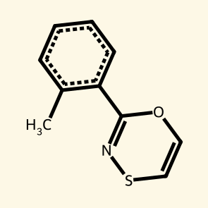 Cc1ccccc1C1=NSC=CO1